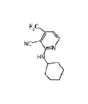 N#Cc1c(C(F)(F)F)ccnc1NC1CCCCC1